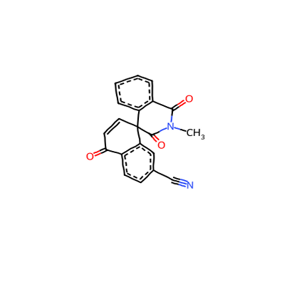 CN1C(=O)c2ccccc2C2(C=CC(=O)c3ccc(C#N)cc32)C1=O